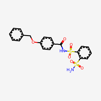 NS(=O)(=O)c1ccccc1S(=O)(=O)NC(=O)c1ccc(OCc2ccccc2)cc1